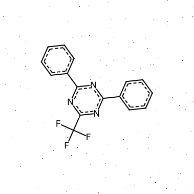 FC(F)(F)c1nc(-c2ccccc2)nc(-c2ccccc2)n1